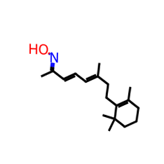 CC(=CC=CC(C)=NO)CCC1=C(C)CCCC1(C)C